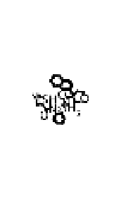 NC(=O)C1(c2ccc3ccccc3c2)CCOCC1.Nc1ccccc1NC(=O)c1cncs1